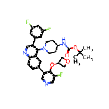 CC(C)(C)OC(=O)NC1CCN(c2c(-c3cc(F)cc(F)c3)cnc3ccc(-c4cncc(F)c4OC4COC4)cc23)CC1